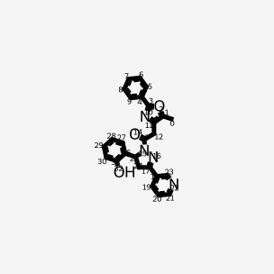 Cc1oc(-c2ccccc2)nc1CC(=O)N1N=C(c2cccnc2)CC1c1ccccc1O